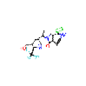 CC(/C=C(\C=N/CC(F)(F)F)C(C)N1Cc2c(ccnc2Cl)C1=O)=C\O